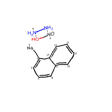 NN.O=NO.[Na][c]1cccc2ccccc12